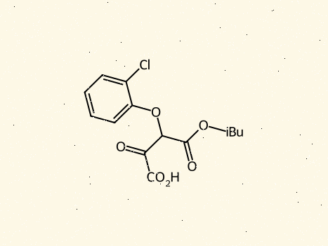 CCC(C)OC(=O)C(Oc1ccccc1Cl)C(=O)C(=O)O